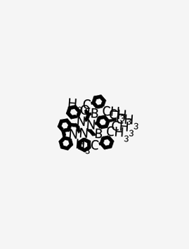 Cc1cccc(C)c1B1C=c2n3c4c(oc5ccccc5n4c4c5cccc6c7ccccc7n(c65)c4n2-c2ccccc2)B(c2c(C)cccc2C)c2cc(C(C)(C)C)cc1c2-3